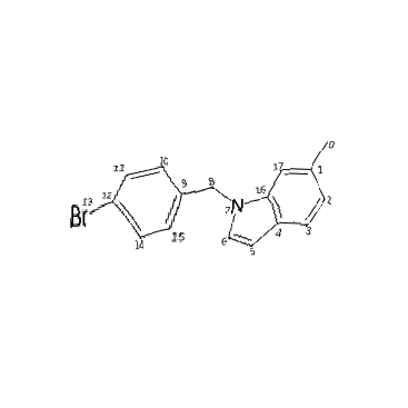 Cc1ccc2ccn(Cc3ccc(Br)cc3)c2c1